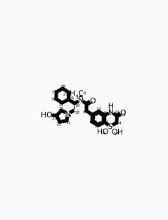 CN(C(=O)Cc1ccc2c(c1)NC(=O)CS2(O)O)[C@H](CN1CCC(O)C1)C1CCCCC1